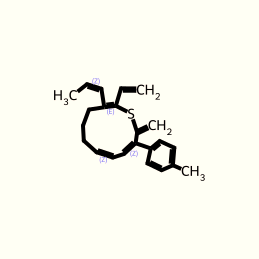 C=C/C1=C(\C=C/C)CCC/C=C\C=C(\c2ccc(C)cc2)C(=C)S1